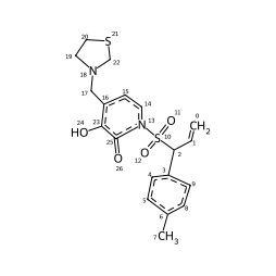 C=CC(c1ccc(C)cc1)S(=O)(=O)n1ccc(CN2CCSC2)c(O)c1=O